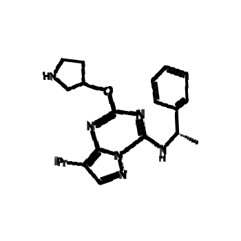 CC(C)c1cnn2c(N[C@@H](C)c3ccccc3)nc(OC3CCNC3)nc12